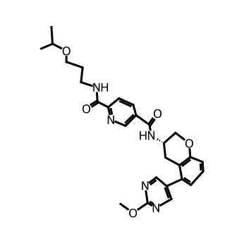 COc1ncc(-c2cccc3c2C[C@H](NC(=O)c2ccc(C(=O)NCCCOC(C)C)nc2)CO3)cn1